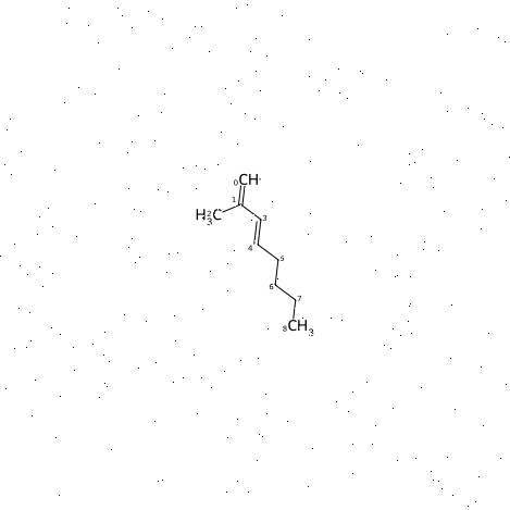 [CH]=C(C)C=CCCCC